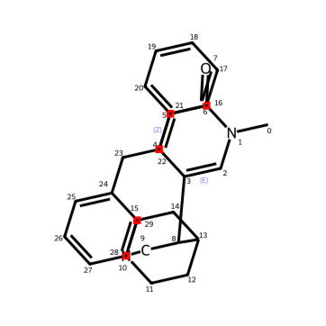 CN(/C=C(\C=C/C=O)C1CN2CCC1CC2)c1ccccc1CCc1ccccc1